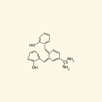 [NH2][Co]([NH2])[c]1[c]c(=Cc2ccccc2O)c(=Cc2ccccc2O)cc1